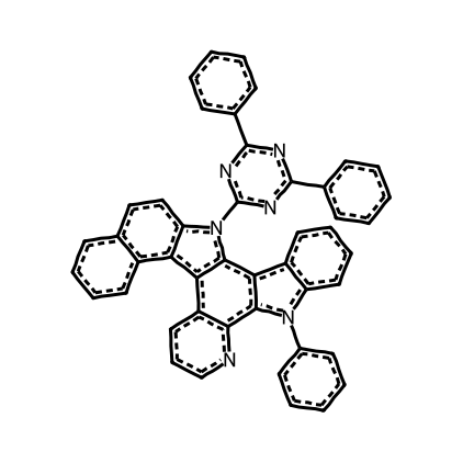 c1ccc(-c2nc(-c3ccccc3)nc(-n3c4ccc5ccccc5c4c4c5cccnc5c5c(c6ccccc6n5-c5ccccc5)c43)n2)cc1